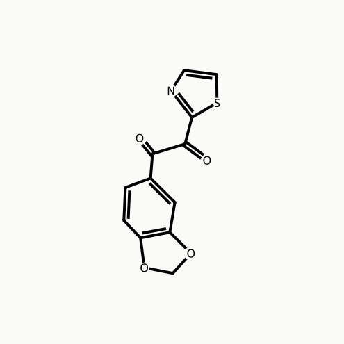 O=C(C(=O)c1nccs1)c1ccc2c(c1)OCO2